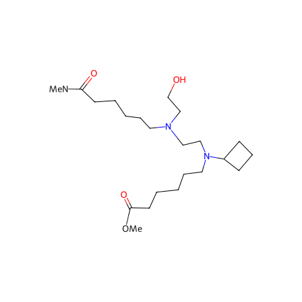 CNC(=O)CCCCCN(CCO)CCN(CCCCCC(=O)OC)C1CCC1